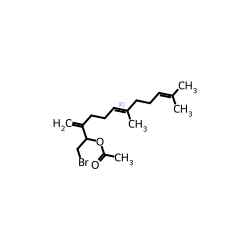 C=C(CC/C=C(\C)CCC=C(C)C)C(CBr)OC(C)=O